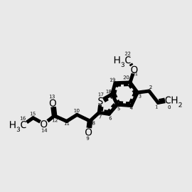 C=CCc1cc2cc(C(=O)CCC(=O)OCC)sc2cc1OC